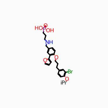 CC(C)Oc1ccc(CCCOc2ccc(CNCCCP(=O)(O)O)cc2-c2ccco2)cc1Br